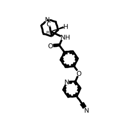 N#Cc1ccnc(Oc2ccc(C(=O)N[C@H]3CN4CCC3CC4)cc2)c1